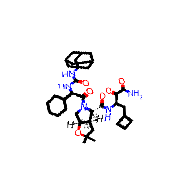 CC1(C)C[C@H]2[C@H](CN(C(=O)C(NC(=O)NC34CC5CC(CC(C5)C3)C4)C3CCCCC3)[C@@H]2C(=O)NC(CC2CCC2)C(=O)C(N)=O)O1